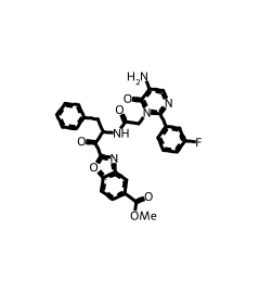 COC(=O)c1ccc2oc(C(=O)C(Cc3ccccc3)NC(=O)Cn3c(-c4cccc(F)c4)ncc(N)c3=O)nc2c1